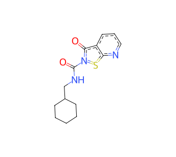 O=C(NCC1CCCCC1)n1sc2ncccc2c1=O